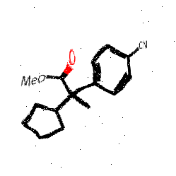 COC(=O)C(C)(c1ccc(C#N)cc1)C1CCCC1